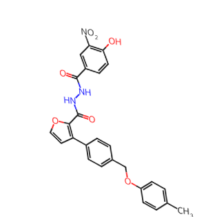 Cc1ccc(OCc2ccc(-c3ccoc3C(=O)NNC(=O)c3ccc(O)c([N+](=O)[O-])c3)cc2)cc1